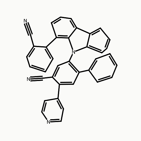 N#Cc1cc(-n2c3ccccc3c3cccc(-c4ccccc4C#N)c32)c(-c2ccccc2)cc1-c1ccncc1